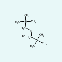 C[Si](C)(C)[SiH2][N-][SiH2][Si](C)(C)C.[K+]